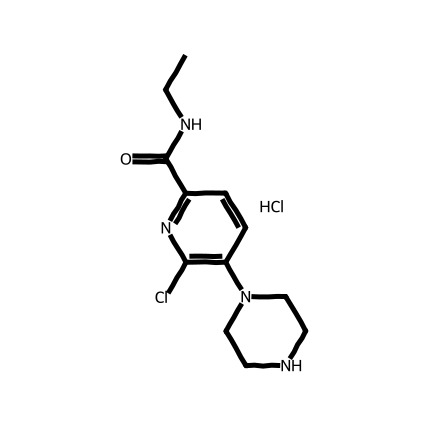 CCNC(=O)c1ccc(N2CCNCC2)c(Cl)n1.Cl